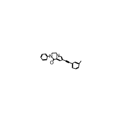 Cc1cccc(C#Cc2cc3n(c2)CCN(c2ccccc2)C3=O)c1